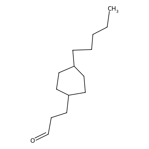 CCCCCC1CCC(CCC=O)CC1